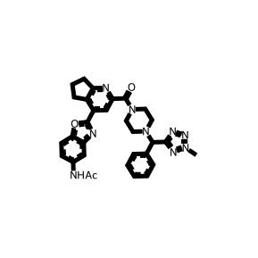 CC(=O)Nc1ccc2oc(-c3cc(C(=O)N4CCN(C(c5ccccc5)c5nnn(C)n5)CC4)nc4c3CCC4)nc2c1